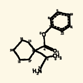 CC(N)C1(C(=O)Oc2ccccc2)CCCCC1